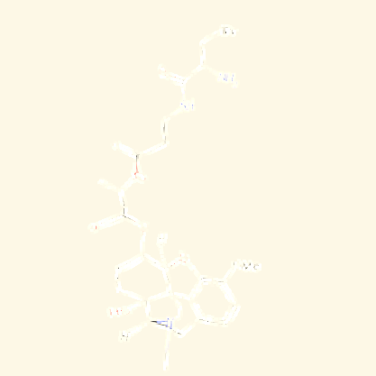 COc1ccc2c3c1O[C@@H]1C(OC(=O)[C@H](C)OC(=O)CCNC(=O)[C@@H](N)CC(C)C)=CC[C@]4(O)[C@H](C2)N(C)CC[C@@]314